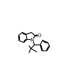 CC(C)(C)C(c1ccccc1)N1C(=O)Cc2ccccc21